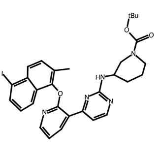 Cc1ccc2c(I)cccc2c1Oc1ncccc1-c1ccnc(NC2CCCN(C(=O)OC(C)(C)C)C2)n1